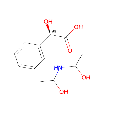 CC(O)NC(C)O.O=C(O)[C@H](O)c1ccccc1